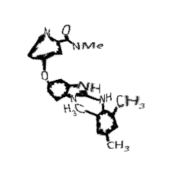 CNC(=O)c1cc(Oc2ccc3nc(Nc4c(C)cc(C)cc4C)[nH]c3c2)ccn1